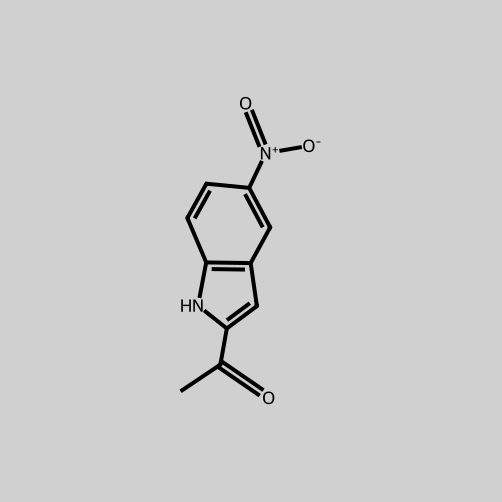 CC(=O)c1cc2cc([N+](=O)[O-])ccc2[nH]1